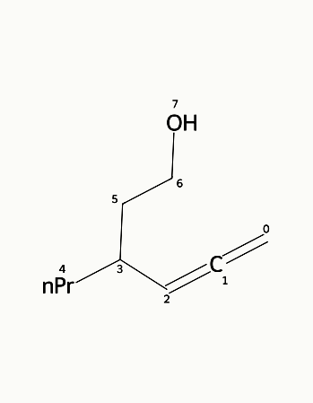 C=C=CC(CCC)CCO